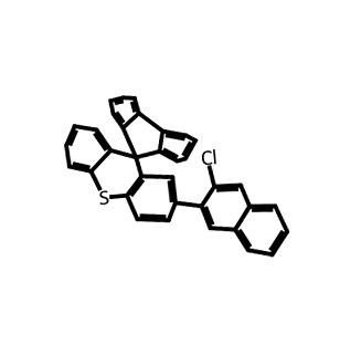 Clc1cc2ccccc2cc1-c1ccc2c(c1)C1(c3ccccc3S2)c2ccccc2-c2ccccc21